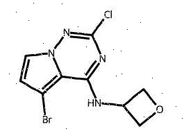 Clc1nc(NC2COC2)c2c(Br)ccn2n1